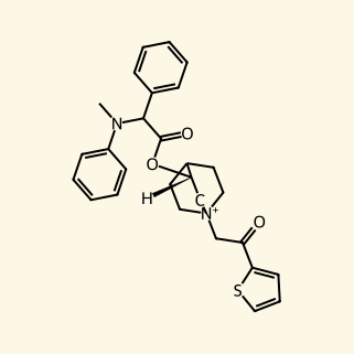 CN(c1ccccc1)C(C(=O)O[C@H]1C[N+]2(CC(=O)c3cccs3)CCC1CC2)c1ccccc1